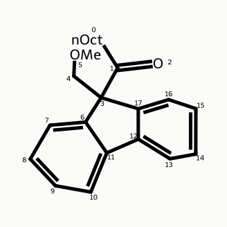 CCCCCCCCC(=O)C1(COC)c2ccccc2-c2ccccc21